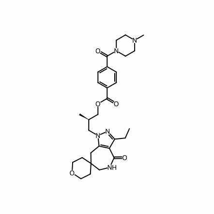 CCc1nn(C[C@@H](C)COC(=O)c2ccc(C(=O)N3CCN(C)CC3)cc2)c2c1C(=O)NCC1(CCOCC1)C2